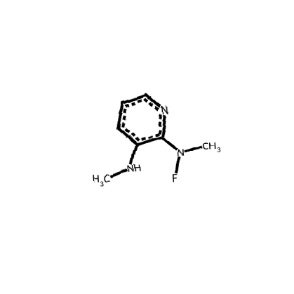 CNc1cccnc1N(C)F